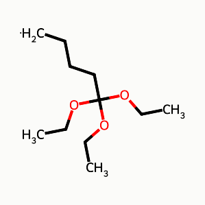 [CH2]CCCC(OCC)(OCC)OCC